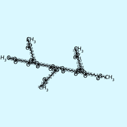 CCCCOC(=O)CCCCCCCC(=O)OCC(COC(=O)CCCCCCCC(=O)OCCC(CCOC(=O)CCCCCCCC(=O)OCC(COC(=O)CCCCCCCC(=O)OCCCC)OC(=O)CCCCCCCC(=O)OCCCC)OC(=O)CCCCCCCC(=O)OCCCC)OC(=O)CCCCCCCC(=O)OCCCC